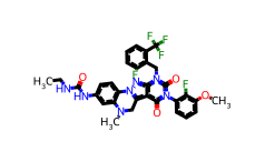 CCNC(=O)Nc1ccc2c(c1)N(C)Cc1c3c(=O)n(-c4cccc(OC)c4F)c(=O)n(Cc4c(F)cccc4C(F)(F)F)c3nn1-2